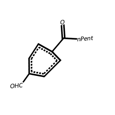 CCCCCC(=O)c1ccc(C=O)cc1